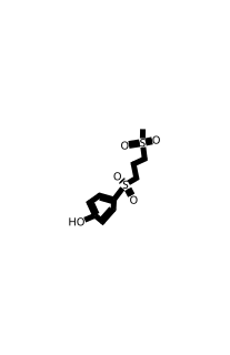 CS(=O)(=O)CCCS(=O)(=O)c1ccc(O)cc1